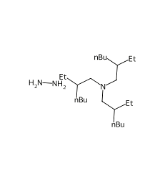 CCCCC(CC)CN(CC(CC)CCCC)CC(CC)CCCC.NN